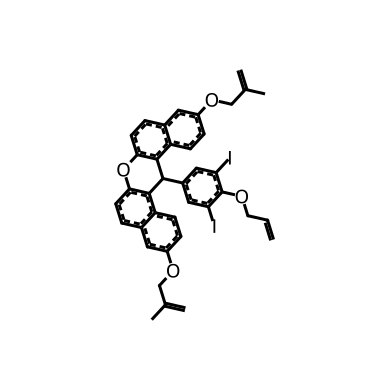 C=CCOc1c(I)cc(C2c3c(ccc4cc(OCC(=C)C)ccc34)Oc3ccc4cc(OCC(=C)C)ccc4c32)cc1I